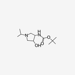 CC(C)N1CC(O)C(NC(=O)OC(C)(C)C)C1